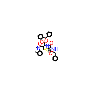 Cc1ccccc1N(C)C(=O)C1=CS[C@H]2C(NC(=O)Cc3ccccc3)C(=O)N2C1C(=O)OC(c1ccccc1)c1ccccc1